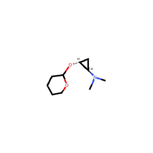 CN(C)[C@@H]1C[C@H]1OC1CCCCO1